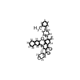 Cc1ccccc1N1CCN(c2c(F)cc3c(=O)c(C(=O)N4CCOCC4)cn4c3c2Oc2cc3ccccc3cc2-4)CC1